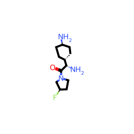 N[C@H](C(=O)N1CC[C@@H](F)C1)[C@H]1CC[C@H](N)CC1